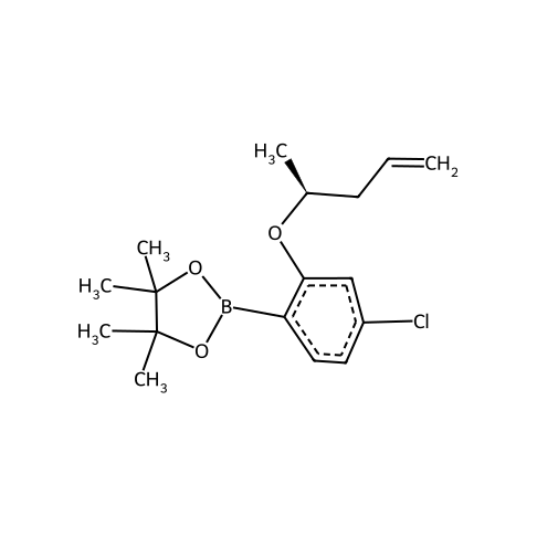 C=CC[C@H](C)Oc1cc(Cl)ccc1B1OC(C)(C)C(C)(C)O1